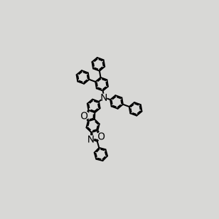 c1ccc(-c2ccc(N(c3ccc(-c4ccccc4)c(-c4ccccc4)c3)c3ccc4oc5cc6nc(-c7ccccc7)oc6cc5c4c3)cc2)cc1